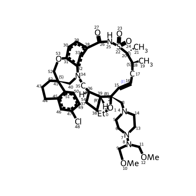 CCO[C@@]1(CN2CCN(N(COC)COC)CC2)/C=C/C[C@H](C)[C@@H](C)S(=O)(=O)NC(=O)c2ccc3c(c2)N(C[C@@H]2CC[C@H]21)C[C@@]1(CCCc2cc(Cl)ccc21)CO3